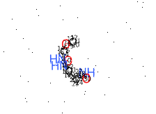 O=C(Nc1ccc(Oc2ccccc2)cc1)Nc1ccc(-c2cccc3c2CNC3=O)cc1